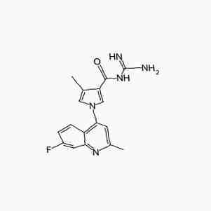 Cc1cc(-n2cc(C)c(C(=O)NC(=N)N)c2)c2ccc(F)cc2n1